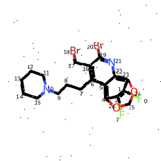 Fc1c(F)c2c3c(CCCN4CCCCC4)c(CBr)c(Br)nc3c1OCO2